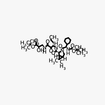 CCC[C@H](NC(=O)[C@@H]1[C@@H]2[C@H](CN1C(=O)[C@@H](NC(=O)OC(C)(C)C)C1CCCCC1)C2(C)C)C(=O)C(=O)NCC(O)C(=O)OC(C)(C)C